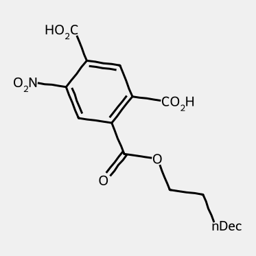 CCCCCCCCCCCCOC(=O)c1cc([N+](=O)[O-])c(C(=O)O)cc1C(=O)O